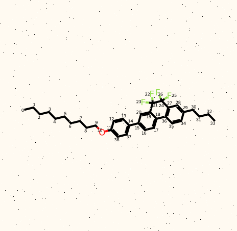 CCCCCCCCCCOc1ccc(-c2ccc3c(c2)C(F)(F)C(F)(F)c2cc(CCCC)ccc2-3)cc1